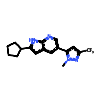 Cn1nc(C(F)(F)F)cc1-c1cnc2[nH]c(C3CCCC3)cc2c1